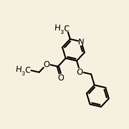 CCOC(=O)c1cc(C)ncc1OCc1ccccc1